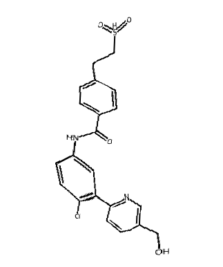 O=C(Nc1ccc(Cl)c(-c2ccc(CO)cn2)c1)c1ccc(CC[SH](=O)=O)cc1